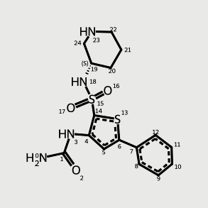 NC(=O)Nc1cc(-c2ccccc2)sc1S(=O)(=O)N[C@H]1CCCNC1